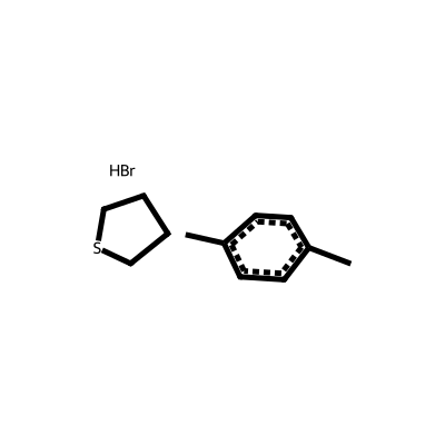 Br.C1CCSC1.Cc1ccc(C)cc1